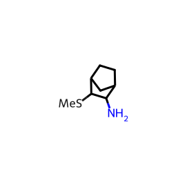 CSC1C2CCC(C2)C1N